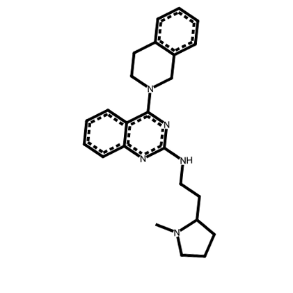 CN1CCCC1CCNc1nc(N2CCc3ccccc3C2)c2ccccc2n1